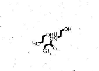 CCC(=O)O.OCCO.OCCO